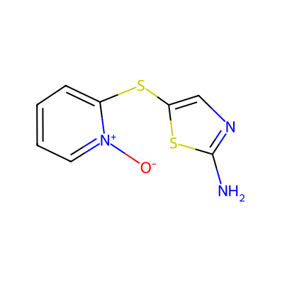 Nc1ncc(Sc2cccc[n+]2[O-])s1